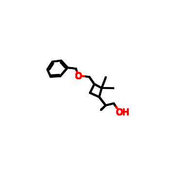 CC(CO)C1CC(COCc2ccccc2)C1(C)C